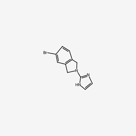 Brc1ccc2c(c1)CN(c1ncc[nH]1)C2